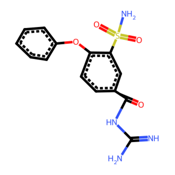 N=C(N)NC(=O)c1ccc(Oc2ccccc2)c(S(N)(=O)=O)c1